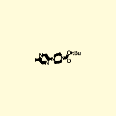 CC(C)(C)OC(=O)N1CCN(c2cnc(I)cn2)CC1